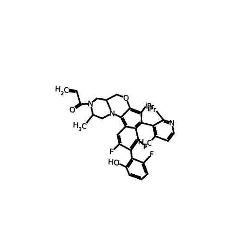 C=CC(=O)N1CC2COc3c(C(C)C)c(-c4c(C)ccnc4C(C)C)c4c(F)c(-c5c(O)cccc5F)c(F)cc4c3N2CC1C